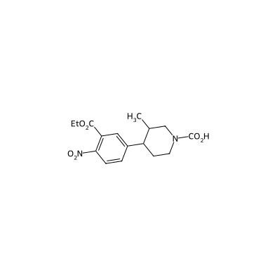 CCOC(=O)c1cc(C2CCN(C(=O)O)CC2C)ccc1[N+](=O)[O-]